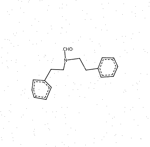 O=[C]N(CCc1ccccc1)CCc1ccccc1